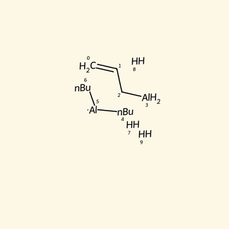 C=C[CH2][AlH2].CCC[CH2][Al][CH2]CCC.[HH].[HH].[HH]